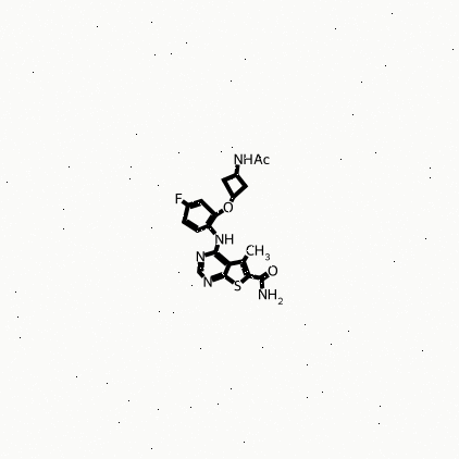 CC(=O)NC1CC(Oc2cc(F)ccc2Nc2ncnc3sc(C(N)=O)c(C)c23)C1